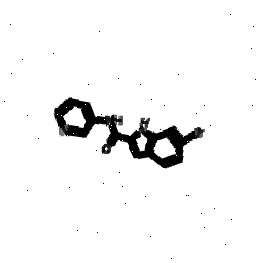 O=C(Nc1cccnc1)c1cc2ccc(Br)cc2[nH]1